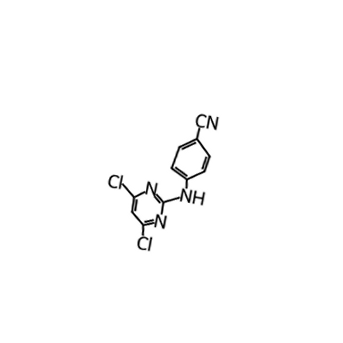 N#Cc1ccc(Nc2nc(Cl)cc(Cl)n2)cc1